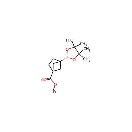 CC(C)OC(=O)C12CCC(B3OC(C)(C)C(C)(C)O3)(C1)C2